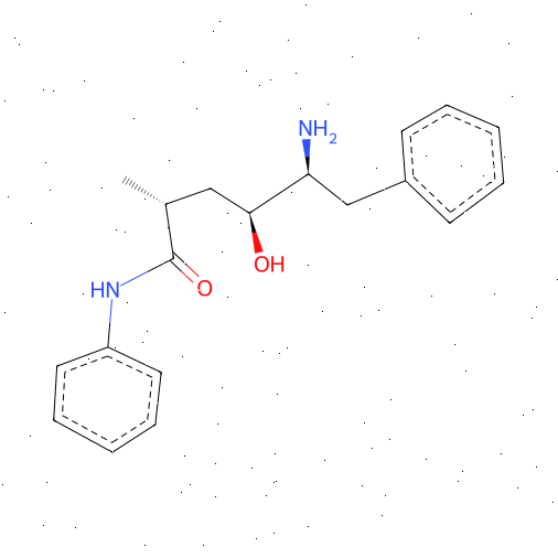 C[C@H](C[C@H](O)[C@@H](N)Cc1ccccc1)C(=O)Nc1ccccc1